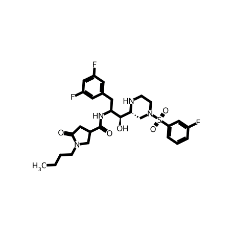 CCCCN1CC(C(=O)NC(Cc2cc(F)cc(F)c2)[C@H](O)[C@H]2CN(S(=O)(=O)c3cccc(F)c3)CCN2)CC1=O